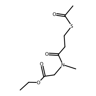 CCOC(=O)CN(C)C(=O)CCSC(C)=O